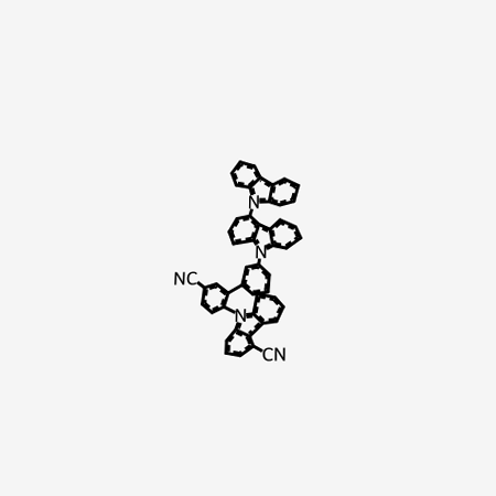 N#Cc1ccc(-n2c3ccccc3c3c(C#N)cccc32)c(-c2cccc(-n3c4ccccc4c4c(-n5c6ccccc6c6ccccc65)cccc43)c2)c1